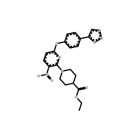 CCOC(=O)C1CCN(c2nc(Oc3ccc(-c4csnn4)cc3)ccc2[N+](=O)[O-])CC1